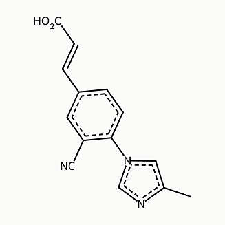 Cc1cn(-c2ccc(C=CC(=O)O)cc2C#N)cn1